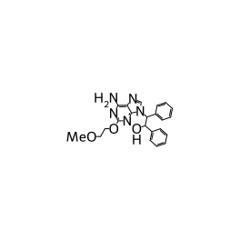 COCCOc1nc(N)c2ncn(C(c3ccccc3)C(O)c3ccccc3)c2n1